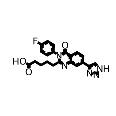 O=C(O)CCCCc1nc2cc(-c3c[nH]nn3)ccc2c(=O)n1-c1ccc(F)cc1